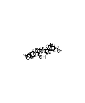 COC[C@H]1C[C@H]2COc3c(Sc4cnc(N5CCC6(CC5)CO[C@@H](C)C6)c(CO)n4)ccnc3N2C1